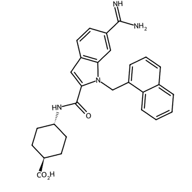 N=C(N)c1ccc2cc(C(=O)N[C@H]3CC[C@H](C(=O)O)CC3)n(Cc3cccc4ccccc34)c2c1